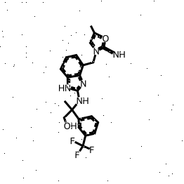 Cc1cn(Cc2cccc3[nH]c(NC(C)(CO)c4cccc(C(F)(F)F)c4)nc23)c(=N)o1